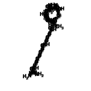 CCCC[C@H](NC(=O)CCC(=O)NCCCOCCOCCOCCCNC(=O)CCOCCOCCOCCOCCOCCOCCNC(=O)C(CNCCN)CNCCN)C(=O)N[C@H]1CSCc2cccc(c2)CSCC(C(=O)O)NC(=O)[C@H](Cc2ccccc2)NC(=O)[C@H](CCC(N)=O)NC(=O)[C@H]([C@@H](C)O)NC(=O)[C@@H]2CCCN2C(=O)[C@@H]2CCCN2C1=O